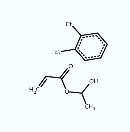 C=CC(=O)OC(C)O.CCc1ccccc1CC